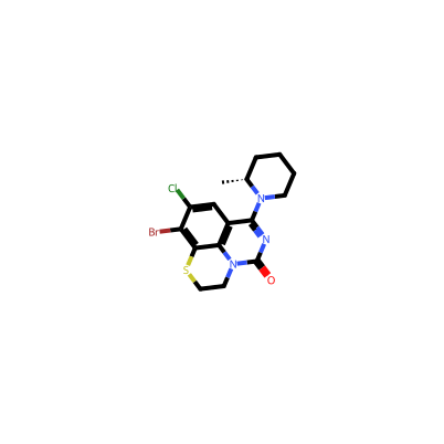 C[C@@H]1CCCCN1c1nc(=O)n2c3c(c(Br)c(Cl)cc13)SCC2